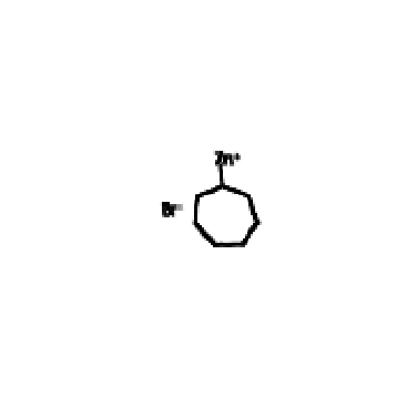 [Br-].[Zn+][CH]1CCCCCC1